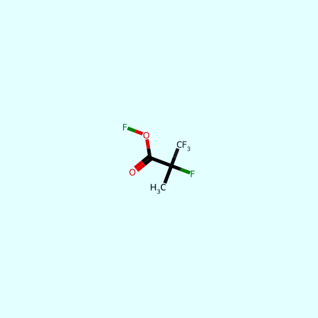 CC(F)(C(=O)OF)C(F)(F)F